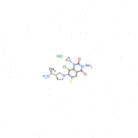 C[C@H](N)[C@@H]1CCN(c2c(F)cc3c(=O)n(N)c(=O)n(C4CC4)c3c2Cl)C1.Cl